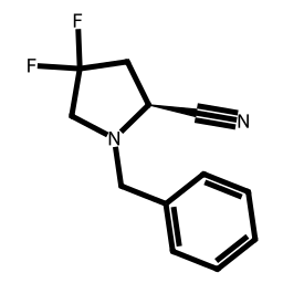 N#C[C@@H]1CC(F)(F)CN1Cc1ccccc1